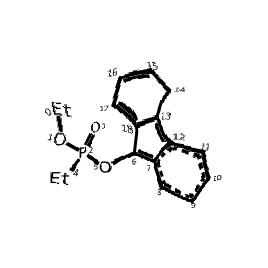 CCOP(=O)(CC)OC1=c2ccccc2=C2CC=CC=C21